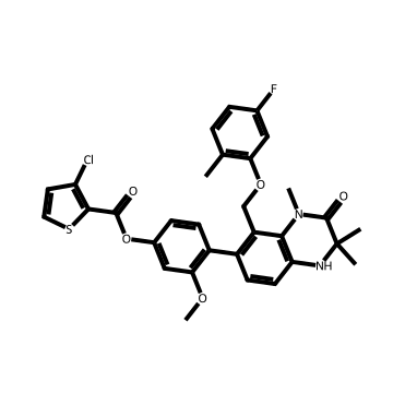 COc1cc(OC(=O)c2sccc2Cl)ccc1-c1ccc2c(c1COc1cc(F)ccc1C)N(C)C(=O)C(C)(C)N2